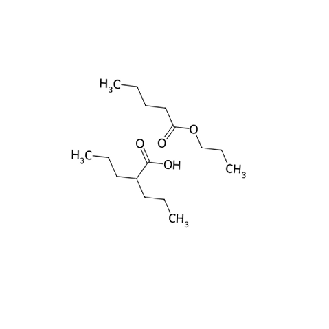 CCCC(CCC)C(=O)O.CCCCC(=O)OCCC